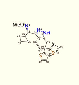 CO/N=C(/c1n[nH]c2c1C=CC(c1cccs1)(c1cccs1)C2)C1CCC1